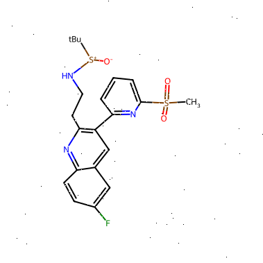 CC(C)(C)[S+]([O-])NCCc1nc2ccc(F)cc2cc1-c1cccc(S(C)(=O)=O)n1